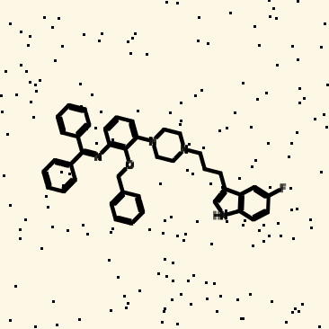 Fc1ccc2[nH]cc(CCCN3CCN(c4cccc(N=C(c5ccccc5)c5ccccc5)c4OCc4ccccc4)CC3)c2c1